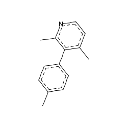 Cc1ccc(-c2c(C)ccnc2C)cc1